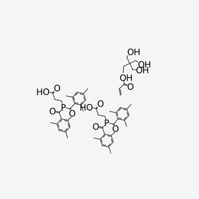 C=CC(=O)O.CCC(CO)(CO)CO.Cc1cc(C)c(C(=O)P(CCC(=O)O)C(=O)c2c(C)cc(C)cc2C)c(C)c1.Cc1cc(C)c(C(=O)P(CCC(=O)O)C(=O)c2c(C)cc(C)cc2C)c(C)c1